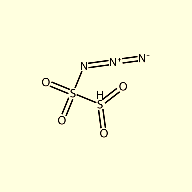 [N-]=[N+]=NS(=O)(=O)[SH](=O)=O